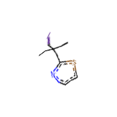 CC(C)(I)c1nccs1